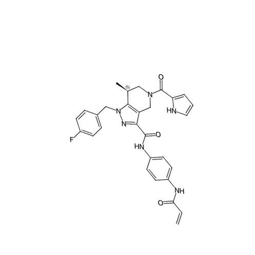 C=CC(=O)Nc1ccc(NC(=O)c2nn(Cc3ccc(F)cc3)c3c2CN(C(=O)c2ccc[nH]2)C[C@@H]3C)cc1